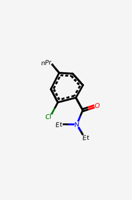 CCCc1ccc(C(=O)N(CC)CC)c(Cl)c1